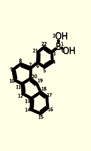 OB(O)c1ccc(-c2cccc3cc4ccccc4cc23)cc1